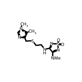 CNC1=NS(=O)(=O)N=C1NCCSCc1ncn(C)c1C